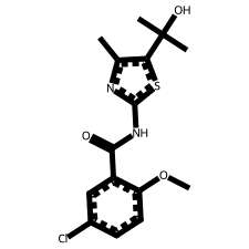 COc1ccc(Cl)cc1C(=O)Nc1nc(C)c(C(C)(C)O)s1